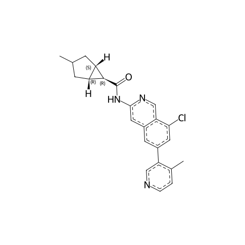 Cc1ccncc1-c1cc(Cl)c2cnc(NC(=O)[C@H]3[C@@H]4CC(C)C[C@@H]43)cc2c1